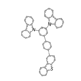 c1ccc2c(c1)sc1ccc(-c3ccc(-c4cc(-n5c6ccccc6c6ccccc65)cc(-n5c6ccccc6c6ccccc65)c4)cc3)cc12